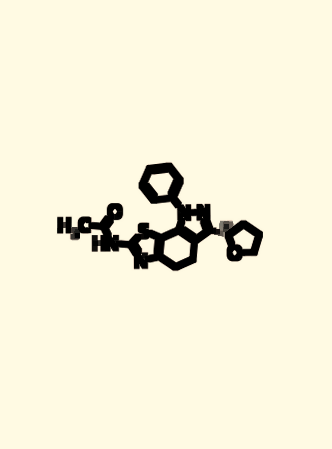 CC(=O)Nc1nc2c(s1)-c1c(c([C@@H]3CCCO3)nn1-c1ccccc1)CC2